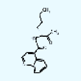 CCCC[C@@H](NC(=O)c1ccnc2ccccc12)C(C)=O